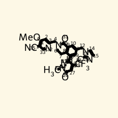 COc1cc(CN2CCc3c(cc(Cn4ccnc4C)cc3-c3nn(C)c(=O)cc3C(F)(F)F)C2=O)ncc1C#N